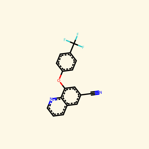 N#Cc1cc(Oc2ccc(C(F)(F)F)cc2)c2ncccc2c1